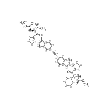 COC(=O)N[C@H](C(=O)N1CCC[C@H]1c1nc2cc(C#Cc3ccc4nc([C@@H]5CCCN5C(=O)[C@@H](NC(=O)OC)C5CCCCC5)[nH]c4c3)ccc2[nH]1)C(C)C